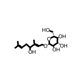 CC(C)=CCC(O)/C(C)=C/CO[C@@H]1O[C@H](CO)[C@@H](O)[C@H](O)[C@H]1O